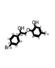 Oc1cc(F)ccc1OCC(O)c1ccc(Br)cc1